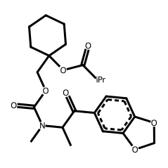 CC(C)C(=O)OC1(COC(=O)N(C)C(C)C(=O)c2ccc3c(c2)OCO3)CCCCC1